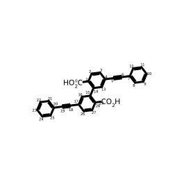 O=C(O)c1ccc(C#Cc2ccccc2)cc1-c1cc(C#Cc2ccccc2)ccc1C(=O)O